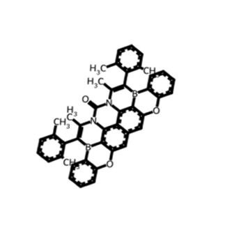 CC1=C(c2c(C)cccc2C)B2c3ccccc3Oc3cc4cc5c6c7c4c(c32)N1C(=O)N7C(C)=C(c1c(C)cccc1C)B6c1ccccc1O5